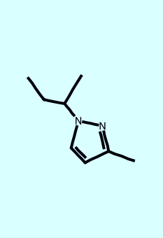 CCC(C)n1ccc(C)n1